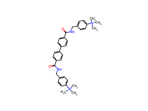 C[N+](C)(C)c1ccc(CNC(=O)c2ccc(-c3ccc(C(=O)NCc4ccc([N+](C)(C)C)cc4)cc3)cc2)cc1